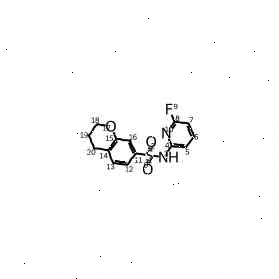 O=S(=O)(Nc1cccc(F)n1)c1ccc2c(c1)OCCC2